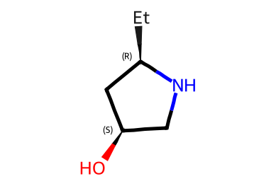 CC[C@@H]1C[C@H](O)CN1